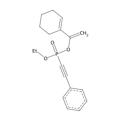 C=C(OP(=O)(C#Cc1ccccc1)OCC)C1=CCCCC1